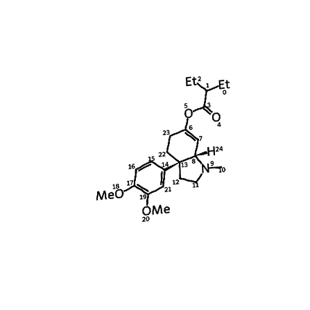 CCC(CC)C(=O)OC1=C[C@@H]2N(C)CC[C@]2(c2ccc(OC)c(OC)c2)CC1